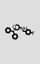 Fc1ccc(CN[C@@H]2CCO[C@@H](C(c3ccccc3)c3ccccc3)C2)cc1